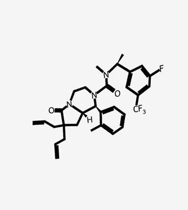 C=CCC1(CC=C)C[C@H]2[C@H](c3ccccc3C)N(C(=O)N(C)[C@@H](C)c3cc(F)cc(C(F)(F)F)c3)CCN2C1=O